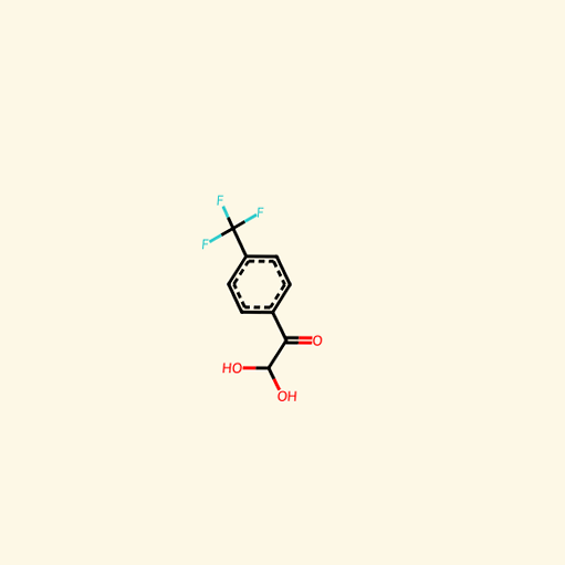 O=C(c1ccc(C(F)(F)F)cc1)C(O)O